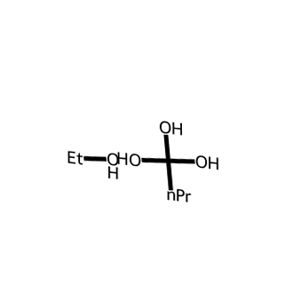 CCCC(O)(O)O.CCO